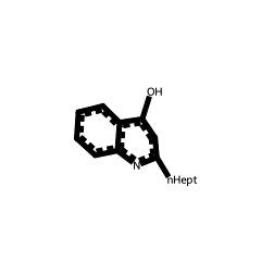 CCCCCCCc1cc(O)c2ccccc2n1